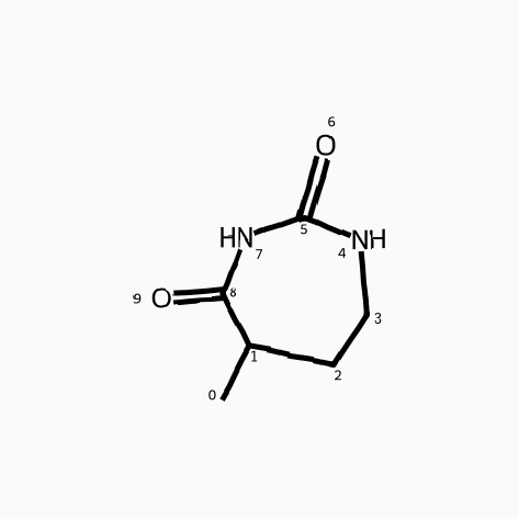 CC1CCNC(=O)NC1=O